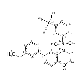 CCc1cccc(-c2ccc3c(c2)N(S(=O)(=O)c2cccc(C(F)(F)F)c2)CCO3)c1